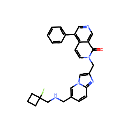 O=c1c2cncc(-c3ccccc3)c2ccn1Cc1cn2cc(CNCC3(F)CCC3)ccc2n1